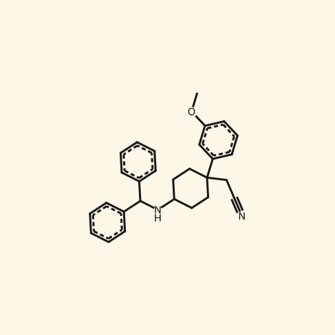 COc1cccc(C2(CC#N)CCC(NC(c3ccccc3)c3ccccc3)CC2)c1